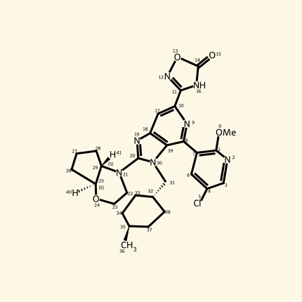 COc1ncc(Cl)cc1-c1nc(-c2noc(=O)[nH]2)cc2nc(N3CCO[C@H]4CCC[C@@H]43)n(C[C@H]3CC[C@H](C)CC3)c12